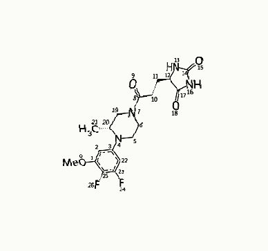 COc1cc(N2CCN(C(=O)CC[C@H]3NC(=O)NC3=O)C[C@H]2C)cc(F)c1F